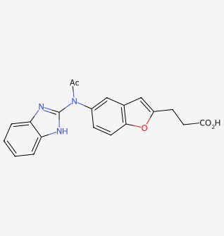 CC(=O)N(c1ccc2oc(CCC(=O)O)cc2c1)c1nc2ccccc2[nH]1